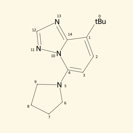 CC(C)(C)c1ccc(N2CCCC2)n2ncnc12